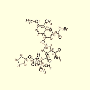 COc1ccc2c(O[C@@H]3C[C@@H](C(N)=O)N(C(=O)[C@@H](NC(=O)OC4CCCC4)C(C)(C)C)C3)cc(C(=O)CBr)nc2c1C